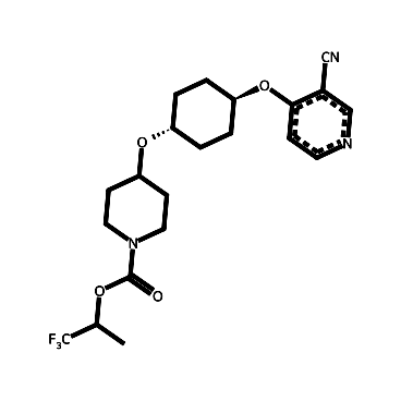 CC(OC(=O)N1CCC(O[C@H]2CC[C@H](Oc3ccncc3C#N)CC2)CC1)C(F)(F)F